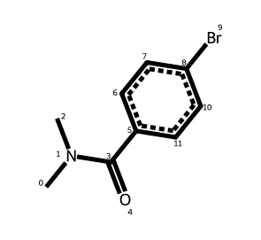 CN(C)C(=O)c1[c]cc(Br)cc1